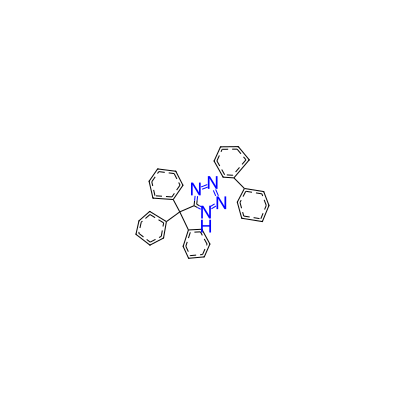 c1ccc(-c2ccccc2)cc1.c1ccc(C(c2ccccc2)(c2ccccc2)c2nnn[nH]2)cc1